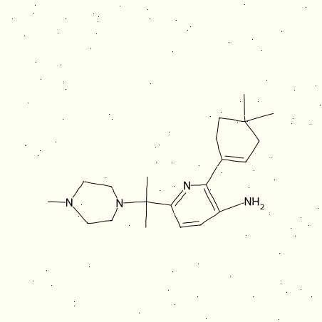 CN1CCN(C(C)(C)c2ccc(N)c(C3=CCC(C)(C)CC3)n2)CC1